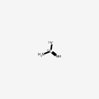 [13CH3][13C](=N)N